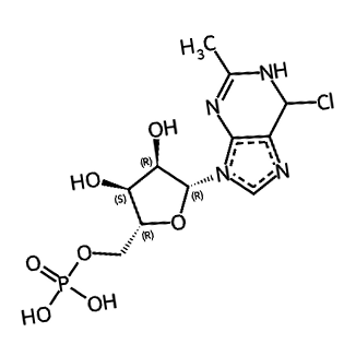 CC1=Nc2c(ncn2[C@@H]2O[C@H](COP(=O)(O)O)[C@@H](O)[C@H]2O)C(Cl)N1